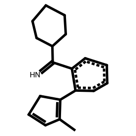 CC1=C(c2ccccc2C(=N)C2CCCCC2)CC=C1